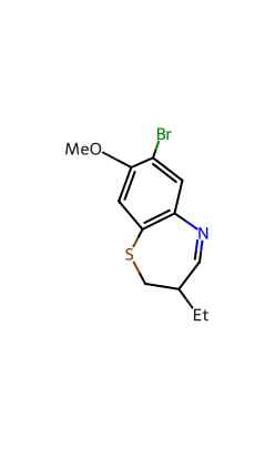 CCC1C=Nc2cc(Br)c(OC)cc2SC1